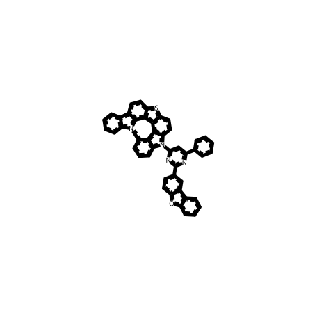 c1ccc(-c2cc(-n3c4ccc5sc6ccc7c8ccccc8n8c9cccc3c9c4c5c6c78)nc(-c3ccc4oc5ccccc5c4c3)n2)cc1